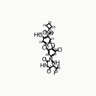 O=C1NC(=O)N(c2cc(Cl)c(Oc3cc(S(=O)(=O)C4CCC4)c(O)cn3)c(Cl)c2)NC1C(F)F